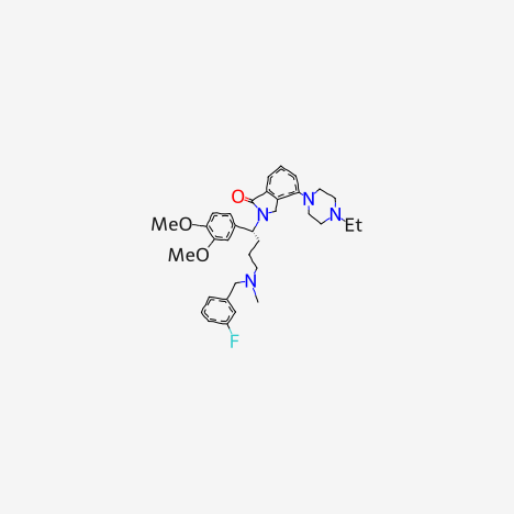 CCN1CCN(c2cccc3c2CN([C@H](CCCN(C)Cc2cccc(F)c2)c2ccc(OC)c(OC)c2)C3=O)CC1